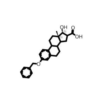 C[C@]12CCC3c4ccc(OCc5ccccc5)cc4CCC3C1CC(C(=O)O)[C@@H]2O